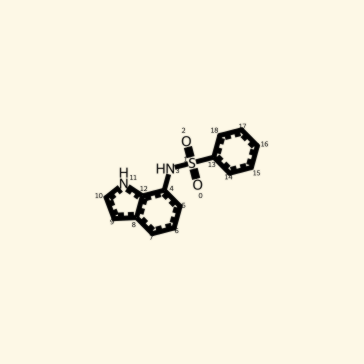 O=S(=O)(Nc1cccc2cc[nH]c12)c1ccccc1